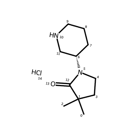 CC1(C)CCN([C@H]2CCCNC2)C1=O.Cl